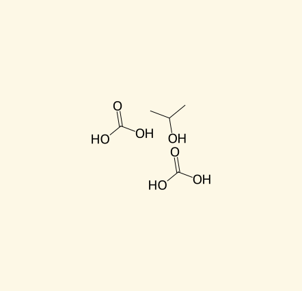 CC(C)O.O=C(O)O.O=C(O)O